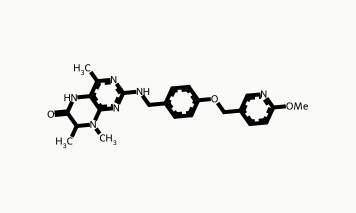 COc1ccc(COc2ccc(CNc3nc(C)c4c(n3)N(C)C(C)C(=O)N4)cc2)cn1